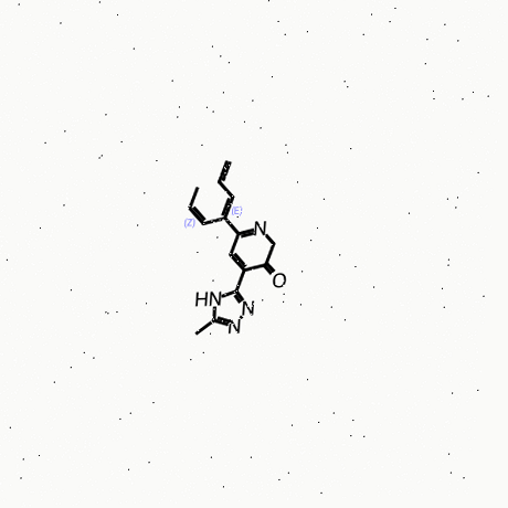 C=C/C=C(\C=C/C)C1=NCC(=O)C(c2nnc(C)[nH]2)=C1